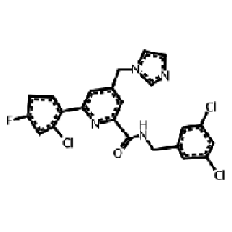 O=C(NCc1cc(Cl)cc(Cl)c1)c1cc(Cn2ccnc2)cc(-c2ccc(F)cc2Cl)n1